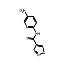 O=C(Nc1ccc([N+](=O)[O-])cn1)c1csnn1